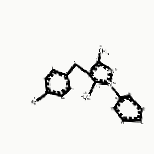 CC(=O)c1ccc(Cc2c(C)nn(-c3ccccc3)c2C)cc1